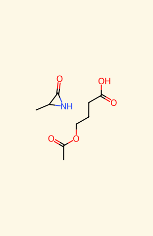 CC(=O)OCCCC(=O)O.CC1NC1=O